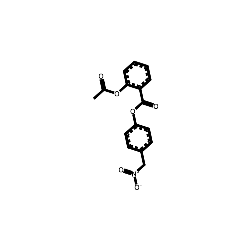 CC(=O)Oc1ccccc1C(=O)Oc1ccc(C[N+](=O)[O-])cc1